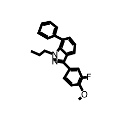 CCCn1nc(-c2ccc(OC)c(F)c2)c2cccc(-c3ccccc3)c21